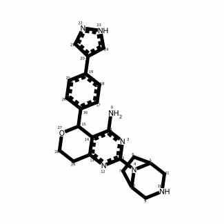 Nc1nc(N2C3CCC2CNC3)nc2c1C(c1ccc(-c3cn[nH]c3)cc1)OCC2